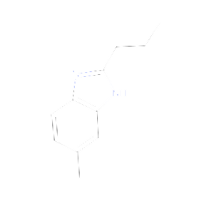 CCCc1nc2ccc(C)cc2[nH]1